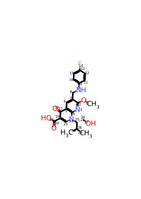 COc1nc2c(cc1CNc1ccc(F)cc1)c(=O)c(C(=O)O)cn2[C@H](CO)C(C)C